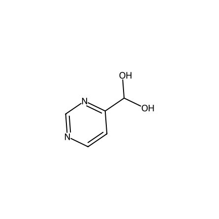 OC(O)c1ccncn1